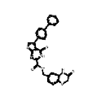 O=C1COc2ccc(CNC(=O)c3nc4scc(-c5ccc(-c6ccccc6)cc5)c4c(=O)[nH]3)cc2N1